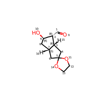 O=C[C@@H]1[C@@H]2CC3(C[C@@H]2C[C@H]1O)OCCO3